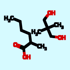 CC(C)(CO)CO.CCCCC(C)C(=O)O